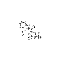 CCSc1ccncc1CNC(=O)c1cc(Cl)cc(C(F)(F)F)c1